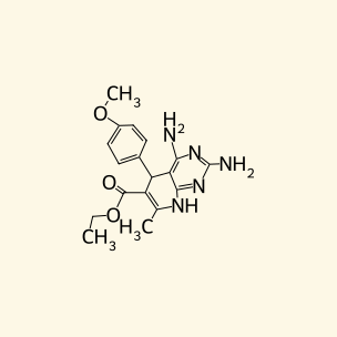 CCOC(=O)C1=C(C)Nc2nc(N)nc(N)c2C1c1ccc(OC)cc1